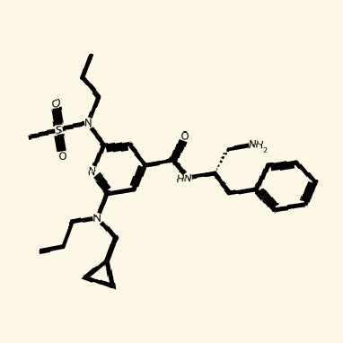 CCCN(CC1CC1)c1cc(C(=O)N[C@H](CN)Cc2ccccc2)cc(N(CCC)S(C)(=O)=O)n1